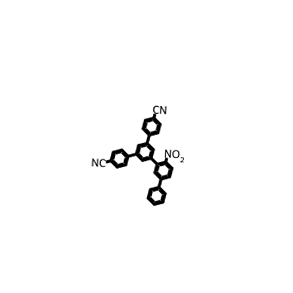 N#Cc1ccc(-c2cc(-c3ccc(C#N)cc3)cc(-c3cc(-c4ccccc4)ccc3[N+](=O)[O-])c2)cc1